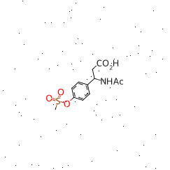 CC(=O)NC(CC(=O)O)c1ccc(OS(C)(=O)=O)cc1